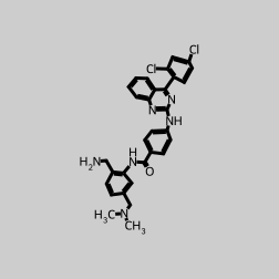 CN(C)Cc1ccc(CN)c(NC(=O)c2ccc(Nc3nc(-c4ccc(Cl)cc4Cl)c4ccccc4n3)cc2)c1